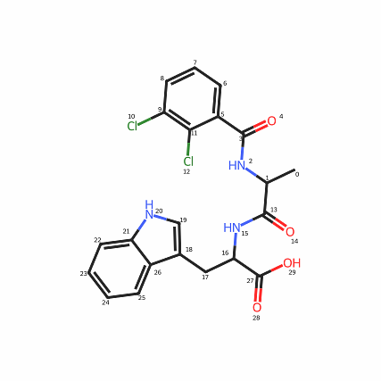 CC(NC(=O)c1cccc(Cl)c1Cl)C(=O)NC(Cc1c[nH]c2ccccc12)C(=O)O